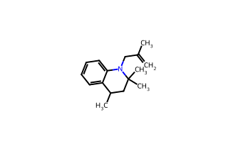 C=C(C)CN1c2ccccc2C(C)CC1(C)C